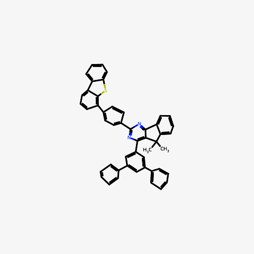 CC1(C)c2ccccc2-c2nc(-c3ccc(-c4cccc5c4sc4ccccc45)cc3)nc(-c3cc(-c4ccccc4)cc(-c4ccccc4)c3)c21